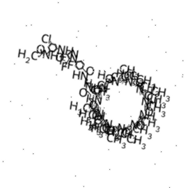 C=CC(=O)Nc1cc(Cl)cc(NC(=O)c2cnn(-c3ccc(C(=O)NCCNC(=O)CCC[C@@H](C)[C@@H](O)[C@H]4C(=O)N[C@@H](CC)C(=O)N(C)CC(=O)N(C)[C@@H](CC(C)C)C(=O)N[C@@H](C(C)C)C(=O)N(C)[C@@H](CC(C)C)C(=O)N[C@@H](C)C(=O)N[C@H](C)C(=O)N(C)[C@@H](CC(C)C)C(=O)N(C)[C@@H](CC(C)C)C(=O)N(C)[C@@H](C(C)C)C(=O)N4C)cc3)c2C(F)(F)F)c1